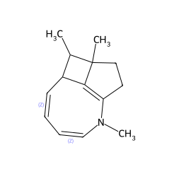 CC1C2/C=C\C=C/N(C)C3=C2C1(C)CC3